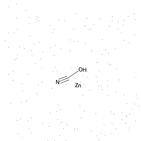 N#CO.[Zn]